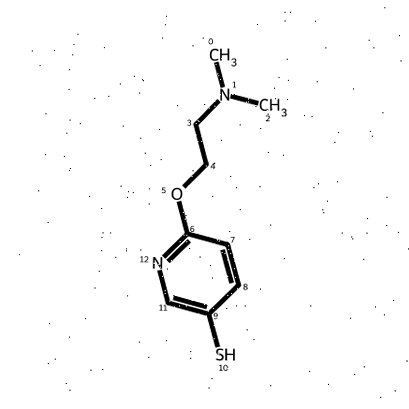 CN(C)CCOc1ccc(S)cn1